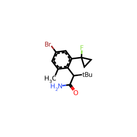 Cc1cc(Br)cc(C2(F)CC2)c1C(C(N)=O)C(C)(C)C